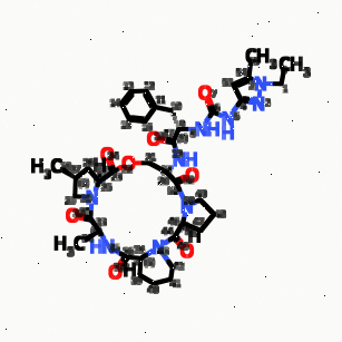 CCn1nc(NC(=O)N[C@@H](Cc2ccccc2)C(=O)N[C@H]2COC(=O)[C@@H]3C[C@H](C)CN3C(=O)[C@H](C)NC(=O)[C@@H]3CCCCN3C(=O)[C@@H]3CCCN3C2=O)cc1C